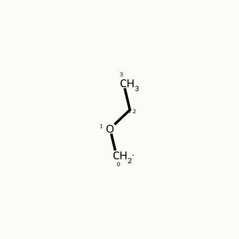 [CH2]O[CH]C